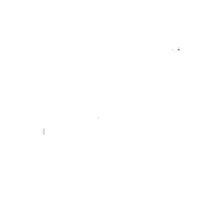 CNc1ccc2c(c1)CN(C(=O)c1cc(C)c(O)cc1O)CC2